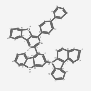 c1ccc(-c2ccc(-c3nc(-c4cc(-n5c6ccccc6c6c7ccccc7ccc65)cc5oc6ccccc6c45)nc4c3oc3ccccc34)cc2)cc1